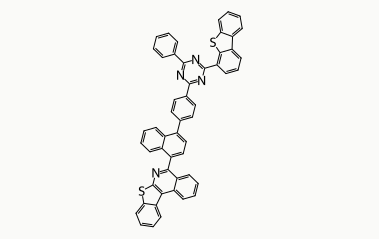 c1ccc(-c2nc(-c3ccc(-c4ccc(-c5nc6sc7ccccc7c6c6ccccc56)c5ccccc45)cc3)nc(-c3cccc4c3sc3ccccc34)n2)cc1